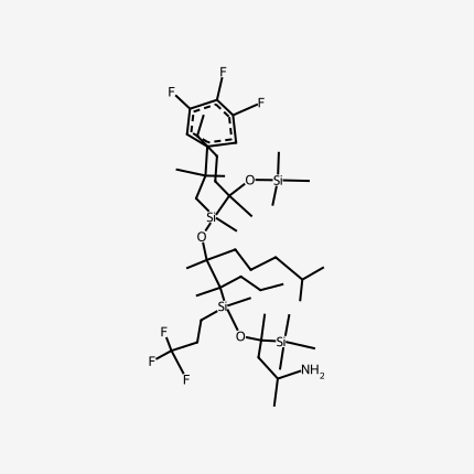 CCCCC(C)(O[Si](C)(C)C)[Si](C)(CC(C)(C)c1cc(F)c(F)c(F)c1)OC(C)(CCCC(C)C)C(C)(CCC)[Si](C)(CCC(F)(F)F)OC(C)(CC(C)N)[Si](C)(C)C